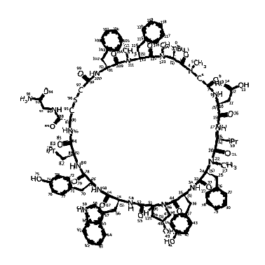 CCCC[C@H]1C(=O)N(C)CC(=O)N[C@@H](CC(O)=P)C(=O)N[C@@H](C(C)C)C(=O)N(C)[C@@H](Cc2ccccc2)C(=O)N[C@@H](Cc2ccc(O)cc2)C(=O)N2C[C@@H](O)C[C@@H]2C(=O)N[C@@H](Cc2c[nH]c3ccccc23)C(=O)N[C@@H](Cc2ccc(O)cc2)C(=O)N[C@@H](CC(C)C)C(=O)N[C@H](C(=O)NCC(N)=O)CSCC(=O)N[C@@H](Cc2ccccc2)C(=O)N(C)[C@@H](Cc2ccccc2)C(=O)N1C